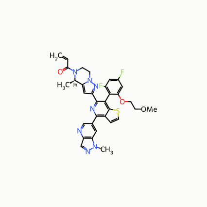 C=CC(=O)N1CCn2nc(-c3nc(-c4cnc5cnn(C)c5c4)c4ccsc4c3-c3c(F)cc(F)cc3OCCOC)cc2[C@H]1C